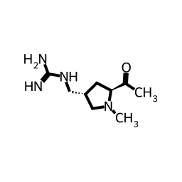 CC(=O)[C@@H]1C[C@@H](CNC(=N)N)CN1C